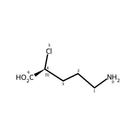 NCCC[C@H](Cl)C(=O)O